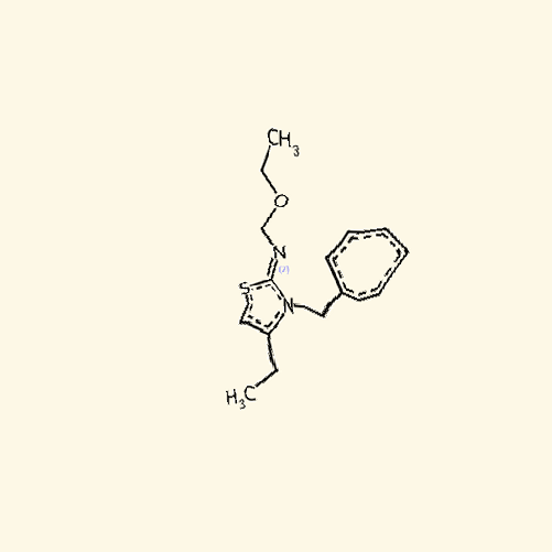 CCOC/N=c1\scc(CC)n1Cc1ccccc1